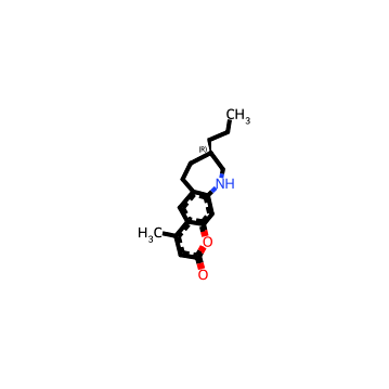 CCC[C@@H]1CCc2cc3c(C)cc(=O)oc3cc2NC1